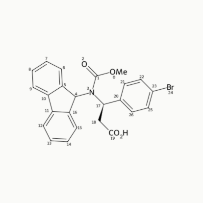 COC(=O)N(C1c2ccccc2-c2ccccc21)[C@H](CC(=O)O)c1ccc(Br)cc1